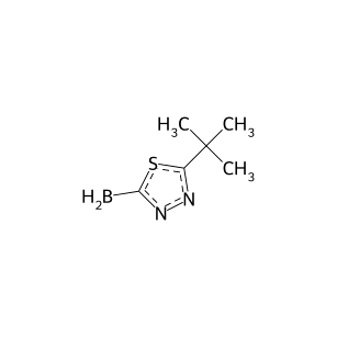 Bc1nnc(C(C)(C)C)s1